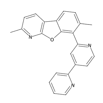 Cc1ccc2c(n1)oc1c(-c3cc(-c4ccccn4)ccn3)c(C)ccc12